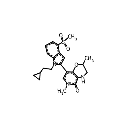 CC1CNc2c(c(-c3cc4c(S(C)(=O)=O)cccc4n3CCC3CC3)cn(C)c2=O)O1